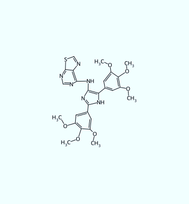 COc1cc(-c2nc(Nc3ncnc4scnc34)c(-c3cc(OC)c(OC)c(OC)c3)[nH]2)cc(OC)c1OC